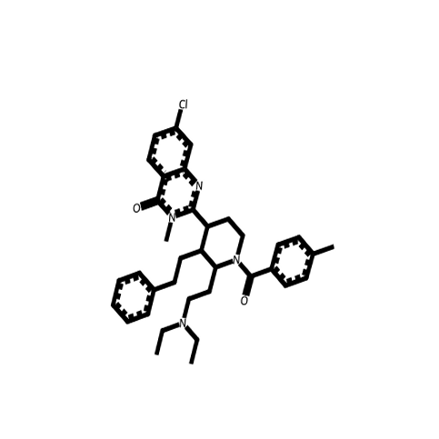 CCN(CC)CCC1C(CCc2ccccc2)C(c2nc3cc(Cl)ccc3c(=O)n2C)CCN1C(=O)c1ccc(C)cc1